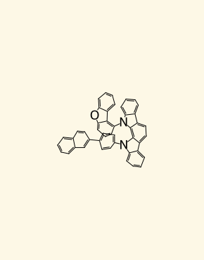 c1ccc2cc(-c3ccc(-n4c5ccccc5c5ccc6c7ccccc7n(-c7cccc8oc9ccccc9c78)c6c54)cc3)ccc2c1